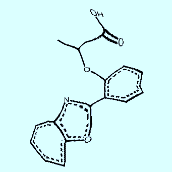 CC(Oc1ccccc1-c1nc2ccccc2o1)C(=O)O